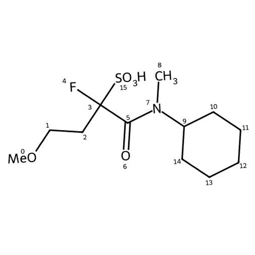 COCCC(F)(C(=O)N(C)C1CCCCC1)S(=O)(=O)O